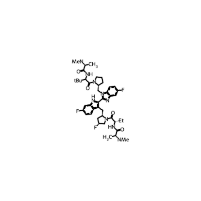 CC[C@H](NC(=O)[C@H](C)NC)C(=O)N1C[C@@H](F)C[C@H]1Cc1c(-c2nc3cc(F)ccc3n2C[C@@H]2CCCN2C(=O)C(NC(=O)[C@H](C)NC)C(C)(C)C)[nH]c2cc(F)ccc12